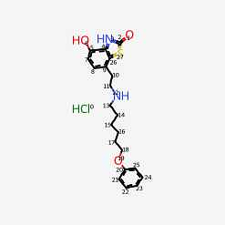 Cl.O=c1[nH]c2c(O)ccc(CCNCCCCCCOc3ccccc3)c2s1